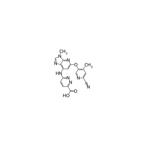 Cc1cc(C#N)ncc1Oc1cc(Nc2ccc(C(=O)O)nn2)c2ncn(C)c2n1